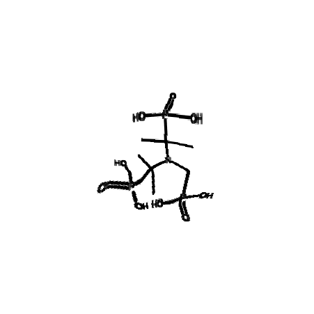 CC(C)(N(CP(=O)(O)O)C(C)(C)P(=O)(O)O)P(=O)(O)O